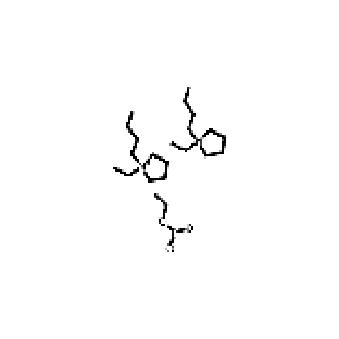 CCCC[N+]1(CC)CCCC1.CCCC[N+]1(CC)CCCC1.CCOP([O-])[O-]